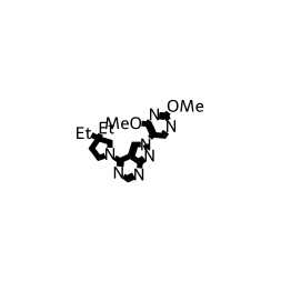 CCC1(CC)CCN(c2ncnc3nn(-c4cnc(OC)nc4OC)cc23)C1